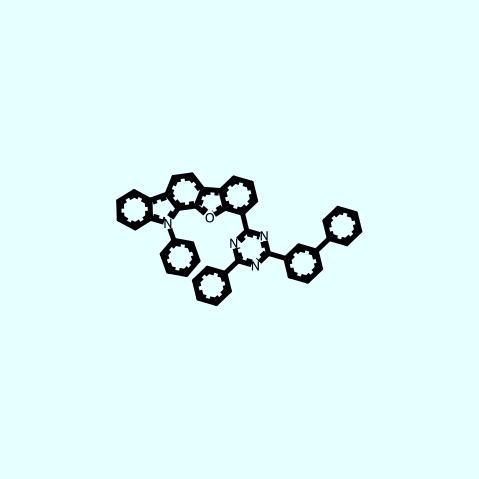 c1ccc(-c2cccc(-c3nc(-c4ccccc4)nc(-c4cccc5c4oc4c5ccc5c6ccccc6n(-c6ccccc6)c54)n3)c2)cc1